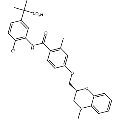 Cc1cc(OC[C@@H]2CN(C)c3ccccc3O2)ccc1C(=O)Nc1cc(C(C)(C)C(=O)O)ccc1Cl